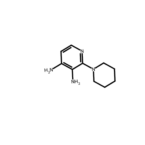 Nc1ccnc(N2CCCCC2)c1N